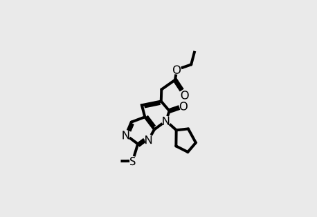 CCOC(=O)Cc1cc2cnc(SC)nc2n(C2CCCC2)c1=O